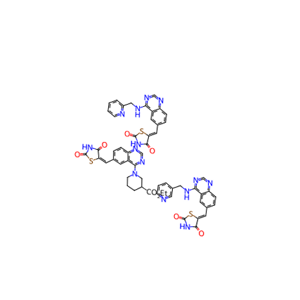 CCOC(=O)C1CCCN(c2ncnc3ccc(C=C4SC(=O)NC4=O)cc23)C1.O=C1NC(=O)C(=Cc2ccc3ncnc(NCc4ccccn4)c3c2)S1.O=C1NC(=O)C(=Cc2ccc3ncnc(NCc4cccnc4)c3c2)S1